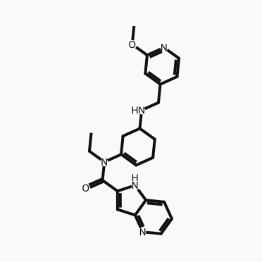 CCN(C(=O)c1cc2ncccc2[nH]1)C1=CCCC(NCc2ccnc(OC)c2)C1